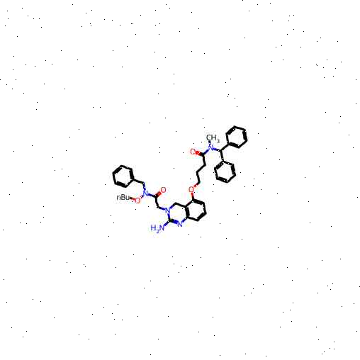 CCCCON(Cc1ccccc1)C(=O)CN1Cc2c(cccc2OCCCC(=O)N(C)C(c2ccccc2)c2ccccc2)N=C1N